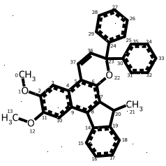 COc1cc2c3c(c4c(c2cc1OC)-c1ccccc1C4C)OC(c1ccccc1)(c1ccccc1)C=C3